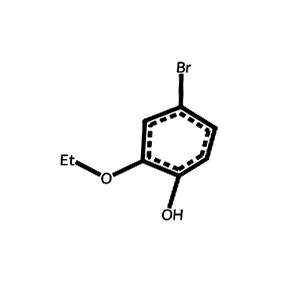 CCOc1cc(Br)ccc1O